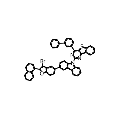 Brc1c(-c2cccc3ccccc23)oc2ccc(-c3ccc4c(c3)c3ccccc3n4-c3nc(-c4cccc(-c5ccccc5)c4)c4sc5ccccc5c4n3)cc12